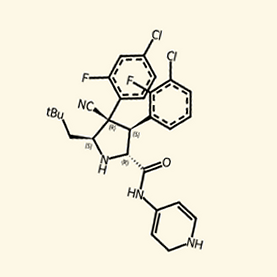 CC(C)(C)C[C@@H]1N[C@@H](C(=O)NC2=CCNC=C2)[C@H](c2cccc(Cl)c2F)[C@@]1(C#N)c1ccc(Cl)cc1F